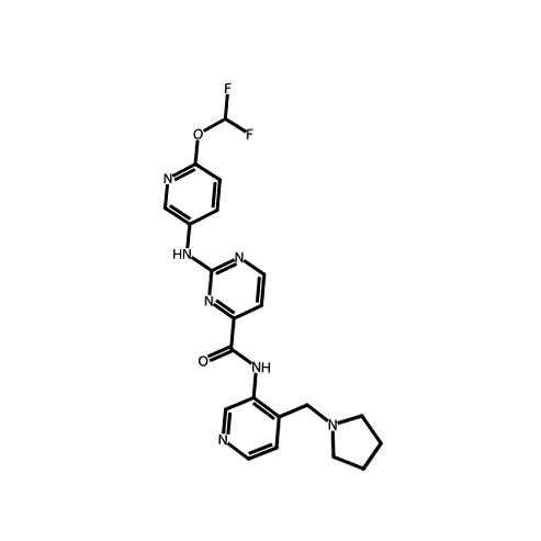 O=C(Nc1cnccc1CN1CCCC1)c1ccnc(Nc2ccc(OC(F)F)nc2)n1